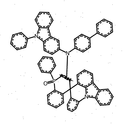 O=P1(c2ccccc2)c2ccccc2C2(c3ccccc3-n3c4ccccc4c4cccc2c43)c2ccc(N(c3ccc(-c4ccccc4)cc3)c3ccc4c(c3)c3ccccc3n4-c3ccccc3)cc21